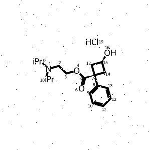 CC(C)N(CCOC(=O)[C@]1(c2ccccc2)C[C@H](O)C1)C(C)C.Cl